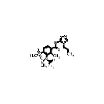 CCCn1nnnc1NC(=O)c1ccc(S(C)(=O)=O)c(N(OC)C(C)=O)c1C